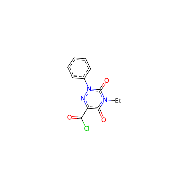 CCn1c(=O)c(C(=O)Cl)nn(-c2ccccc2)c1=O